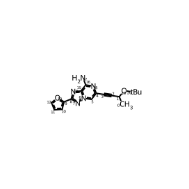 CC(C#Cc1cn2nc(-c3ccco3)nc2c(N)n1)OC(C)(C)C